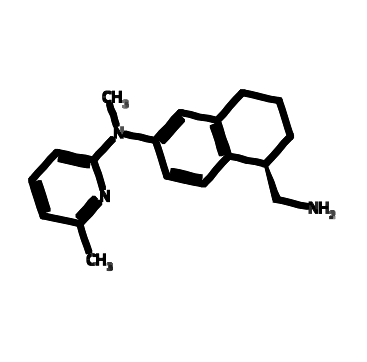 Cc1cccc(N(C)c2ccc3c(c2)CCC[C@H]3CN)n1